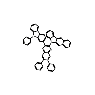 c1ccc(-c2cc3nc(-c4ccc5c6ccccc6n(-c6ccccc6)c5c4)c(-n4c5ccccc5c5cc6ccccc6cc54)nc3cc2-c2ccccc2)cc1